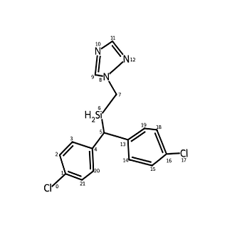 Clc1ccc(C([SiH2]Cn2cncn2)c2ccc(Cl)cc2)cc1